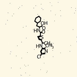 Cc1ncc(Cl)cc1NC(C)c1ccc(C(=O)NC(CC2CCCCC2)C(=O)O)s1